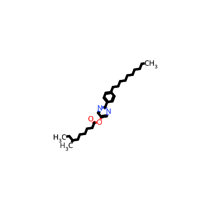 CCCCCCCCCCc1ccc(-c2ncc(OC(=O)CCCCCC(C)CC)cn2)cc1